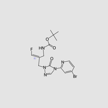 CC(C)(C)OC(=O)NC/C(=C\F)Cn1ncn(-c2cc(Br)ccn2)c1=O